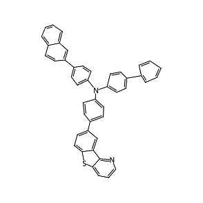 c1ccc(-c2ccc(N(c3ccc(-c4ccc5ccccc5c4)cc3)c3ccc(-c4ccc5sc6cccnc6c5c4)cc3)cc2)cc1